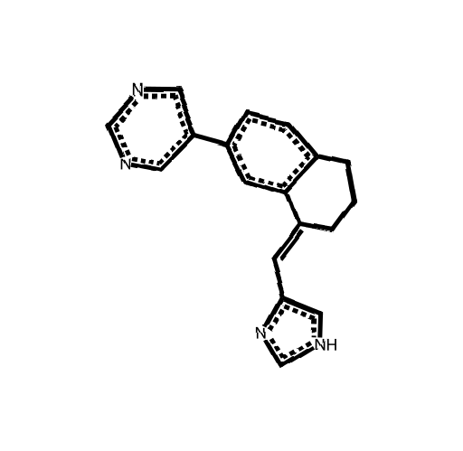 C(=C1CCCc2ccc(-c3cncnc3)cc21)c1c[nH]cn1